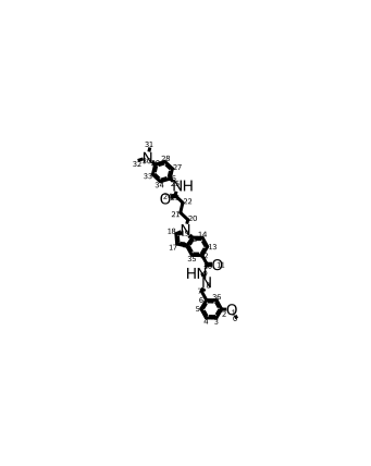 COc1cccc(/C=N/NC(=O)c2ccc3c(ccn3CCCC(=O)Nc3ccc(N(C)C)cc3)c2)c1